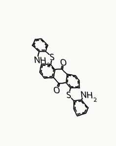 Nc1ccccc1Sc1cccc2c1C(=O)c1cccc(Sc3ccccc3N)c1C2=O